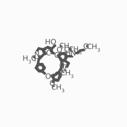 COCCCNCc1c2c3c(c(OC)c1OC)Oc1cc4c(cc1CO)CCN(C)[C@H]4Cc1ccc(cc1)Oc1cc(ccc1OC)C[C@@H]3N(C)CC2